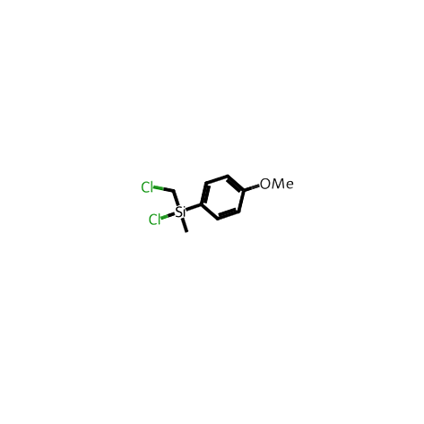 COc1ccc([Si](C)(Cl)CCl)cc1